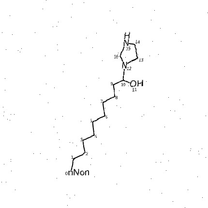 CCCCCCCCCCCCCCCCCCC(O)N1CCNC1